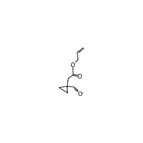 C=CCOC(=O)CC1(C=O)CC1